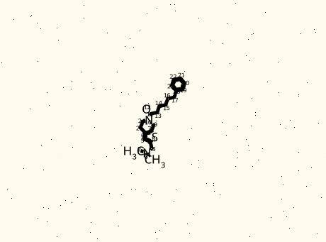 CN(C)Cc1cc2c(s1)CN(C(=O)CCCCCc1ccccc1)CC2